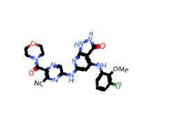 COc1c(Cl)cccc1Nc1cc(Nc2cnc(C(=O)N3CCOCC3)c(C#N)n2)nc2[nH][nH]c(=O)c12